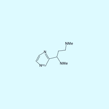 CNCCC(NC)c1cnccn1